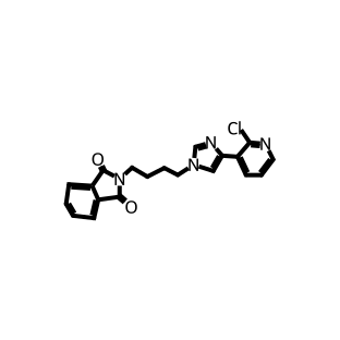 O=C1c2ccccc2C(=O)N1CCCCn1cnc(-c2cccnc2Cl)c1